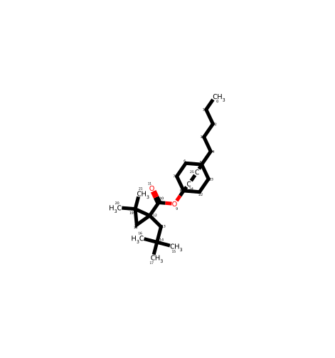 CCCCCC12CCC(OC(=O)C3(CC(C)(C)C)CC3(C)C)(CC1)CC2